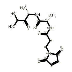 CC(S)C(=O)[C@H](C)NC(=O)[C@H](C)NC(=O)CCN1C(=O)C=CC1=O